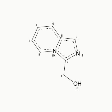 OCc1ncc2ccccn12